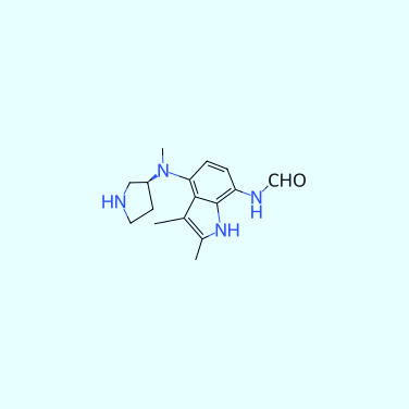 Cc1[nH]c2c(NC=O)ccc(N(C)[C@H]3CCNC3)c2c1C